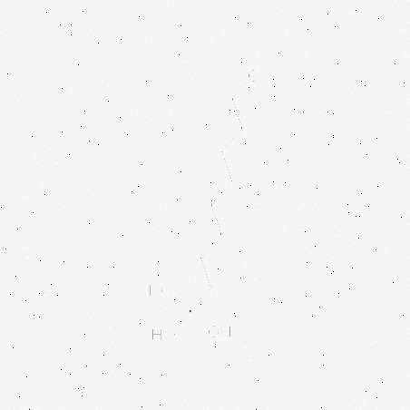 OC(O)(O)CCCCCCCCCl